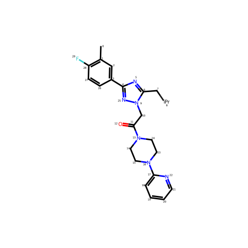 Cc1cc(-c2nc(CC(C)C)n(CC(=O)N3CCN(c4ccccn4)CC3)n2)ccc1F